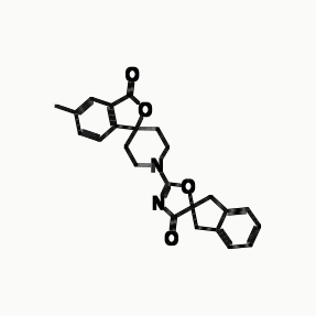 Cc1ccc2c(c1)C(=O)OC21CCN(C2=NC(=O)C3(Cc4ccccc4C3)O2)CC1